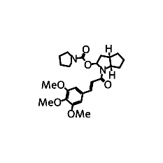 COc1cc(C=CC(=O)N2[C@@H](OC(=O)N3CCCC3)C[C@@H]3CCC[C@@H]32)cc(OC)c1OC